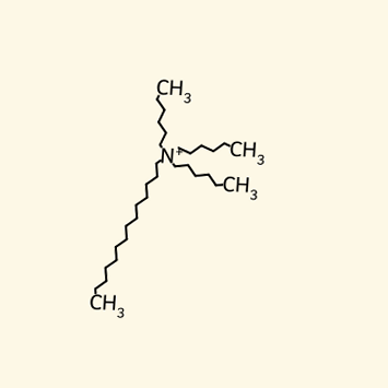 CCCCCCCCCCCCCC[N+](CCCCCC)(CCCCCC)CCCCCC